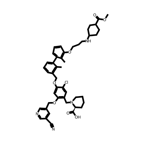 COC(=O)C1CCC(NCCCOc2cccc(-c3cccc(COc4cc(OCc5cncc(C#N)c5)c(CN5CCCC[C@H]5C(=O)O)cc4Cl)c3C)c2C)CC1